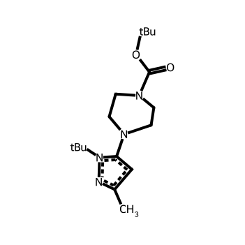 Cc1cc(N2CCN(C(=O)OC(C)(C)C)CC2)n(C(C)(C)C)n1